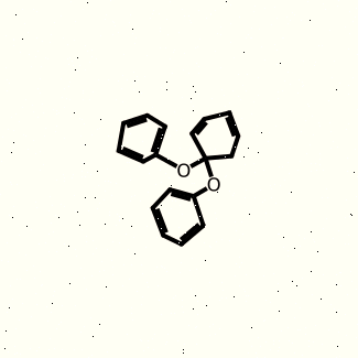 C1=CCC(Oc2ccccc2)(Oc2ccccc2)C=C1